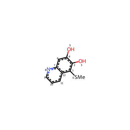 CSc1c(O)c(O)cc2ncccc12